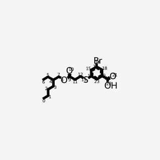 CCCCC(CC)COC(=O)CCSc1cc(Br)cc(C(=O)O)c1